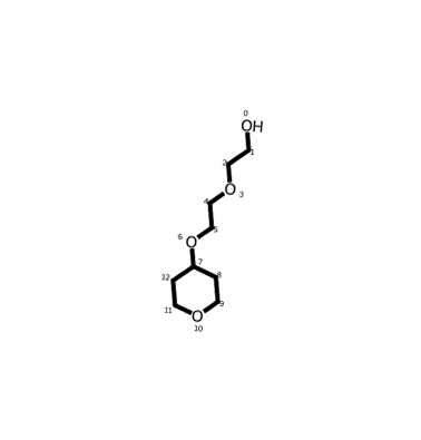 OCCOCCOC1CCOCC1